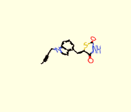 CC#CCn1ccc2c(C=C3SC(=O)NC3=O)cccc21